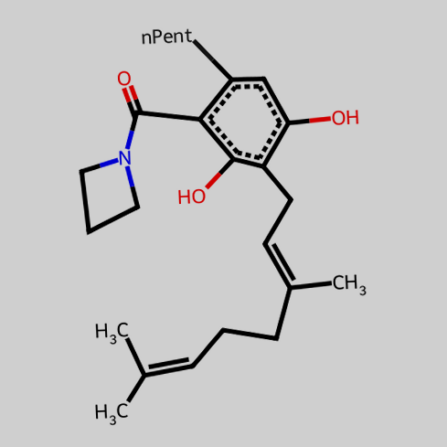 CCCCCc1cc(O)c(C/C=C(\C)CCC=C(C)C)c(O)c1C(=O)N1CCC1